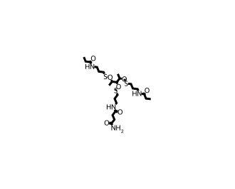 CCC(=O)NCCCSOC(C)C(OSCCCNC(=O)CCC(N)=O)C(C)OSCCCNC(=O)CC